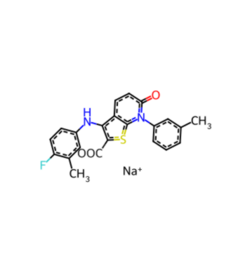 Cc1cccc(-n2c(=O)ccc3c(Nc4ccc(F)c(C)c4)c(C(=O)[O-])sc32)c1.[Na+]